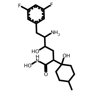 CC1CCC(O)(C(CC(O)C(N)Cc2cc(F)cc(F)c2)C(=O)NO)CC1